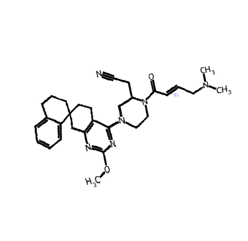 COc1nc2c(c(N3CCN(C(=O)/C=C/CN(C)C)C(CC#N)C3)n1)CCC1(CCCc3ccccc31)C2